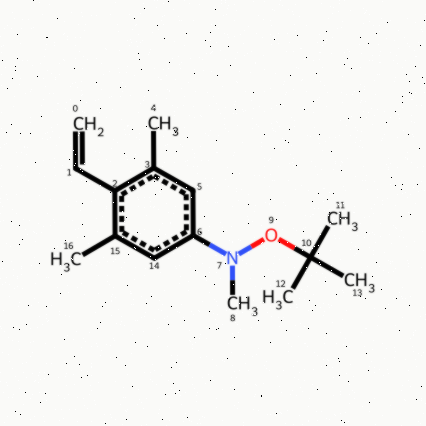 C=Cc1c(C)cc(N(C)OC(C)(C)C)cc1C